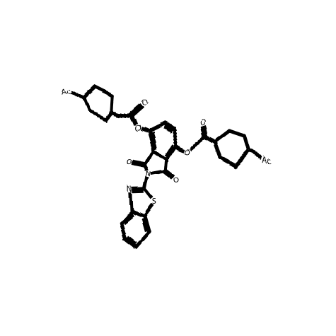 CC(=O)C1CCC(C(=O)Oc2ccc(OC(=O)C3CCC(C(C)=O)CC3)c3c2C(=O)N(c2nc4ccccc4s2)C3=O)CC1